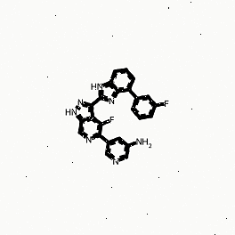 Nc1cncc(-c2ncc3[nH]nc(-c4nc5c(-c6cccc(F)c6)cccc5[nH]4)c3c2F)c1